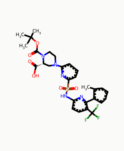 Cc1ccccc1-c1nc(NS(=O)(=O)c2cccc(N3CCN(C(=O)OC(C)(C)C)[C@@H](C(=O)O)C3)n2)ccc1C(F)(F)F